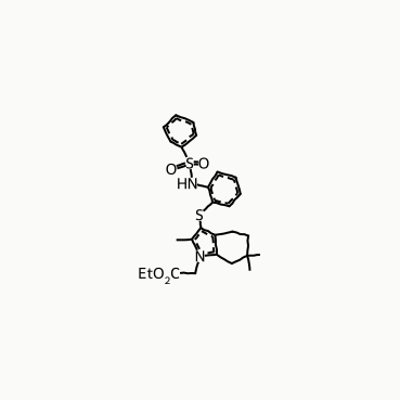 CCOC(=O)Cn1c(C)c(Sc2ccccc2NS(=O)(=O)c2ccccc2)c2c1CC(C)(C)CC2